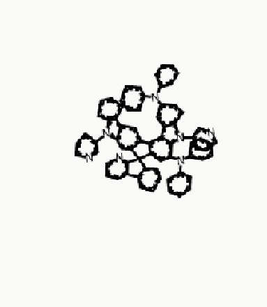 c1ccc(N(c2ccccc2)c2ccc3c(c2)c2c4c(cc(N(c5ccccc5)c5ccccc5)c2n3-c2cccnc2)C2(c3ccccc3-c3cccnc32)c2cc3c(cc2-4)c2ccccc2n3-c2cccnc2)cc1